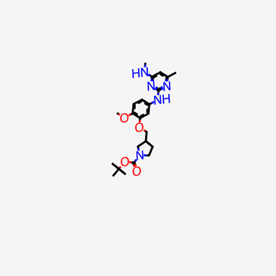 CNc1cc(C)nc(Nc2ccc(OC)c(OCC3CCN(C(=O)OC(C)(C)C)C3)c2)n1